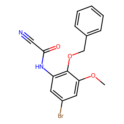 COc1cc(Br)cc(NC(=O)C#N)c1OCc1ccccc1